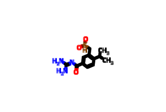 CC(C)c1ccc(C(=O)N=C(N)N)cc1C[SH](=O)=O